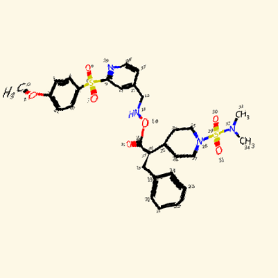 COc1ccc(S(=O)(=O)c2cc(CNOC(=O)[C@H](Cc3ccccc3)C3CCN(S(=O)(=O)N(C)C)CC3)ccn2)cc1